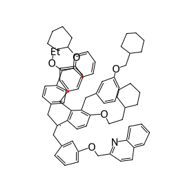 CCOC(c1ccccc1)c1ccc(C[C](Cc2cccc(OCc3ccc4ccccc4n3)c2)c2ccc(OCCC3CCCCC3)c(Cc3cccc(OCC4CCCCC4)c3)c2Cc2ccc(OC3CCCCC3)cc2)cc1